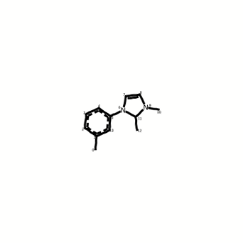 Cc1cccc(N2C=CN(C)C2C)c1